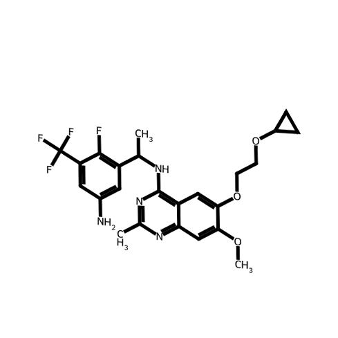 COc1cc2nc(C)nc(NC(C)c3cc(N)cc(C(F)(F)F)c3F)c2cc1OCCOC1CC1